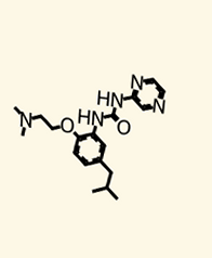 CC(C)Cc1ccc(OCCN(C)C)c(NC(=O)Nc2cnccn2)c1